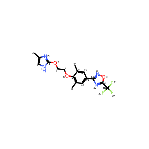 Cc1c[nH]c(OCCOc2c(C)cc(-c3noc(C(F)(F)F)n3)cc2C)n1